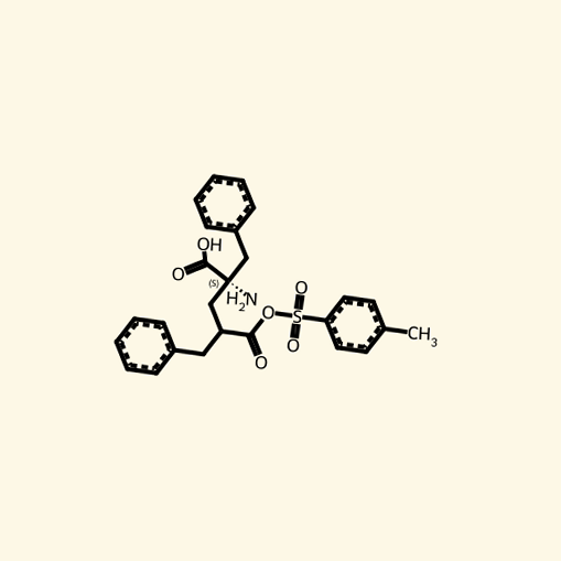 Cc1ccc(S(=O)(=O)OC(=O)C(Cc2ccccc2)C[C@](N)(Cc2ccccc2)C(=O)O)cc1